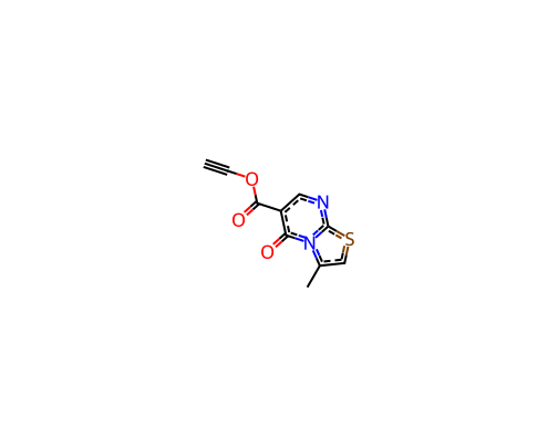 C#COC(=O)c1cnc2scc(C)n2c1=O